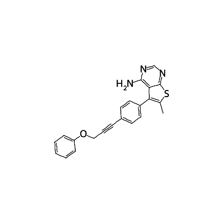 Cc1sc2ncnc(N)c2c1-c1ccc(C#CCOc2ccccc2)cc1